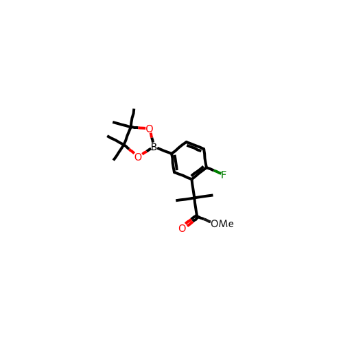 COC(=O)C(C)(C)c1cc(B2OC(C)(C)C(C)(C)O2)ccc1F